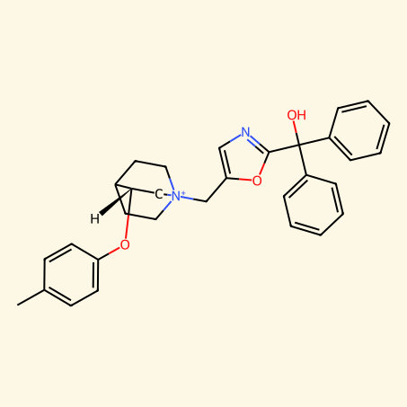 Cc1ccc(O[C@H]2C[N+]3(Cc4cnc(C(O)(c5ccccc5)c5ccccc5)o4)CCC2CC3)cc1